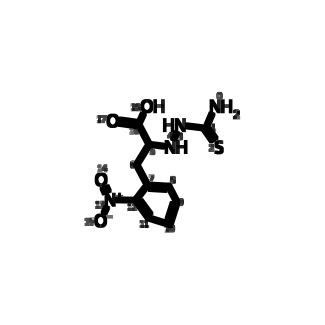 NC(=S)NNC(Cc1ccccc1[N+](=O)[O-])C(=O)O